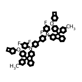 Cc1ccc(C2(c3ccc(Oc4ccc5c(c4)CC5)cc3)c3ccccc3-c3ccc(N(c4ccc(-c5ccc(N(c6ccc7c(c6)C(c6ccc(C)cc6)(c6ccc(Oc8ccc9c(c8)CC9)cc6)c6ccccc6-7)c6ccc(F)cc6F)cc5)cc4)c4ccc(F)cc4F)cc32)cc1